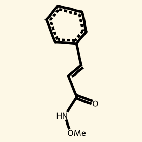 CONC(=O)C=Cc1c[c]ccc1